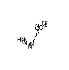 FC(F)(F)c1ccc2c(SCCCCCCn3cnc(CN4CCNCC4)c3)ccnc2c1